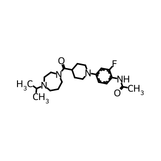 CC(=O)Nc1ccc(N2CCC(C(=O)N3CCCN(C(C)C)CC3)CC2)cc1F